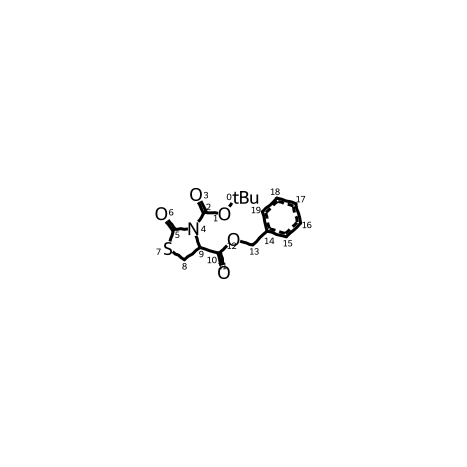 CC(C)(C)OC(=O)N1C(=O)SCC1C(=O)OCc1ccccc1